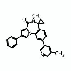 Cc1cncc(-c2ccc3c(c2)-n2cc(-c4ccccc4)cc2C(=O)N(C)C32CC2)c1